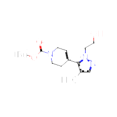 Cc1cnn(CCO)c1C1=CCN(C(=O)OC(C)(C)C)CC1